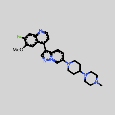 COc1cc2c(-c3cnn4cc(N5CCC(N6CCN(C)CC6)CC5)ccc34)ccnc2cc1F